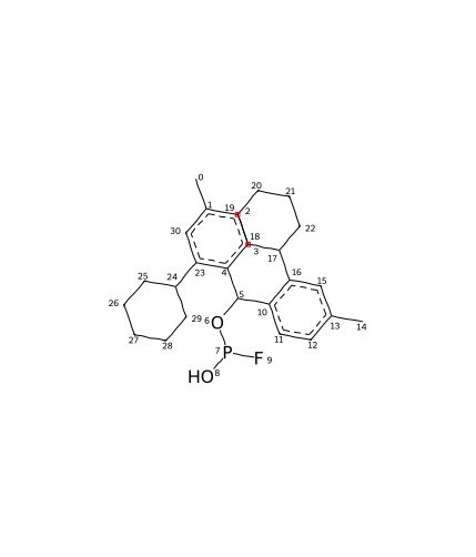 Cc1ccc(C(OP(O)F)c2ccc(C)cc2C2CCCCC2)c(C2CCCCC2)c1